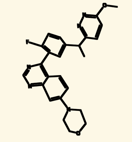 COc1ccc(C(C)c2ccc(F)c(-c3ncnc4cc(N5CCOCC5)ccc34)c2)nn1